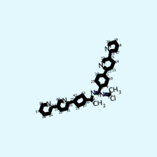 C=C(/N=C(\N=C(/C)Cl)c1ccc(-c2ccc(-c3ccccn3)cn2)cc1)c1ccc(-c2ccc(-c3ccccn3)cn2)cc1